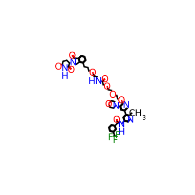 Cc1ncc(NC(=O)c2cccc(C(F)(F)F)c2)cc1-c1cnc(OCCOCCOCC(=O)NCCOCCCc2cccc3c2CN(C2CCC(=O)NC2=O)C3=O)c(N2CCOCC2)c1